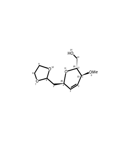 CO[C@H]1C=C[C@@H](CC2OCCO2)O[C@@H]1CO